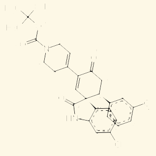 CC(C)(C)OC(=O)N1CC=C(C2=C[C@@]3(C(=O)Nc4cc(Cl)ccc43)[C@H](c3cccc(Cl)c3)CC2=O)CC1